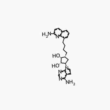 Nc1ccc2cccc(CCCC[C@H]3C[C@@H](n4ccc5c(N)ncnc54)[C@H](O)[C@@H]3O)c2n1